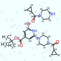 CC(C)(C)OC(=O)c1cc(Br)nc(N2CCN(C(=O)C3CC3)CC2)c1.O=C(C1CC1)N1CCNCC1